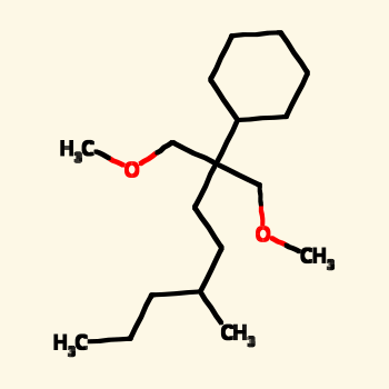 CCCC(C)CCC(COC)(COC)C1CCCCC1